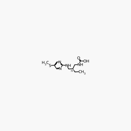 CC[C@H](CNC(=O)O)CNc1ncc(SC)cn1